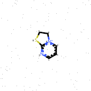 c1cnc2[n+](c1)CCS2